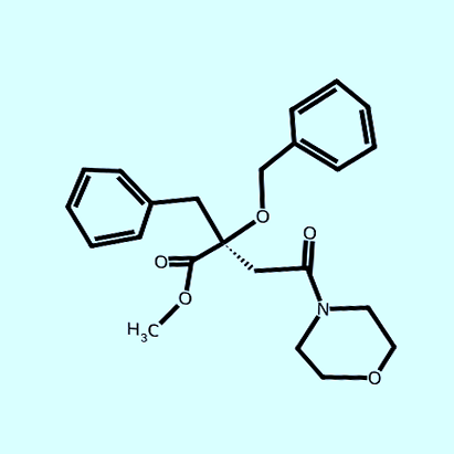 COC(=O)[C@@](CC(=O)N1CCOCC1)(Cc1ccccc1)OCc1ccccc1